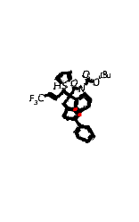 CC(C)(C)OC(=O)N1C(=O)C(Cc2ccc(-c3ccccc3)cc2)(C(/C=C/C(F)(F)F)[SH]2C=CC=C2)c2ccccc21